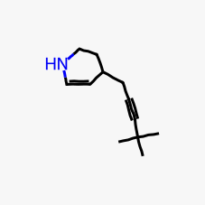 CC(C)(C)C#CCC1C=CNCC1